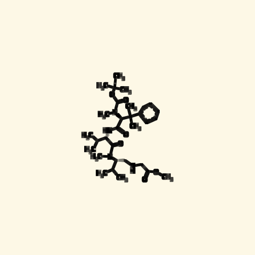 COC(=O)CNC[C@H](C(C)C)N(C)C(=O)[C@@H](NC(=O)[C@@H](N(C)C(=O)OC(C)(C)C)C(C)(C)c1ccccc1)C(C)C